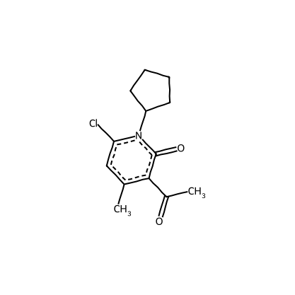 CC(=O)c1c(C)cc(Cl)n(C2CCCC2)c1=O